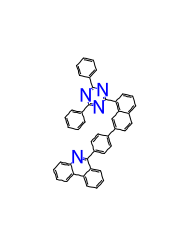 c1ccc(-c2nc(-c3ccccc3)nc(-c3cccc4ccc(-c5ccc(-c6nc7ccccc7c7ccccc67)cc5)cc34)n2)cc1